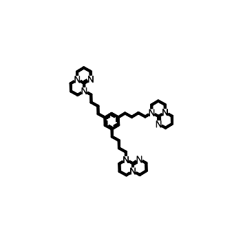 c1c(CCCCN2CCCN3CCCN=C23)cc(CCCCN2CCCN3CCCN=C23)cc1CCCCN1CCCN2CCCN=C12